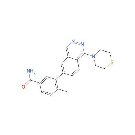 Cc1ccc(C(N)=O)cc1-c1ccc2c(N3CCSCC3)nncc2c1